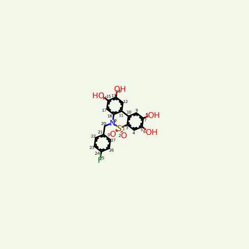 O=S1(=O)c2cc(O)c(O)cc2-c2cc(O)c(O)cc2N1Cc1ccc(F)cc1